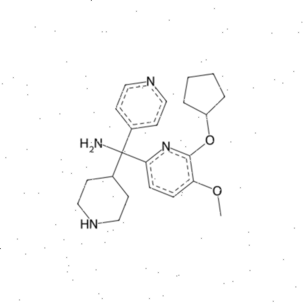 COc1ccc(C(N)(c2ccncc2)C2CCNCC2)nc1OC1CCCC1